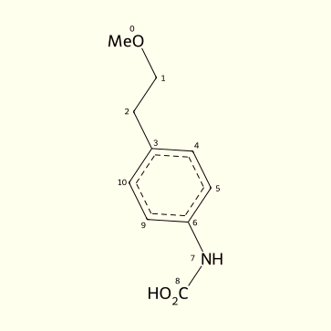 COCCc1ccc(NC(=O)O)cc1